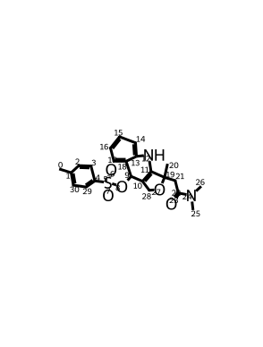 Cc1ccc(S(=O)(=O)OC2C3=C(Nc4ccccc42)C(C)(CC(=O)N(C)C)OC3)cc1